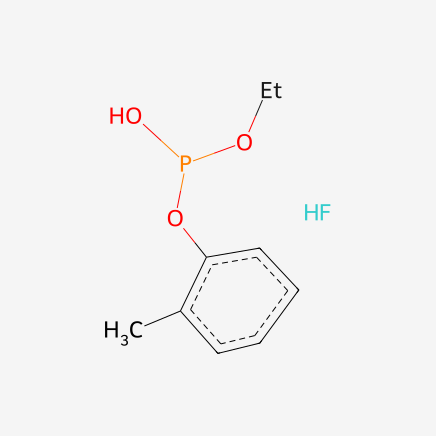 CCOP(O)Oc1ccccc1C.F